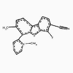 Cc1ccc2c(sc3c(F)c(C#N)ccc32)c1-c1cccc[n+]1C